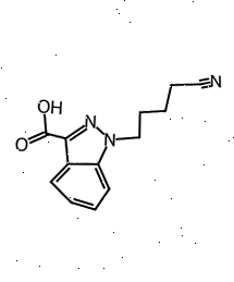 N#CCCCCn1nc(C(=O)O)c2ccccc21